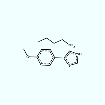 CCCCN.COc1ccc(-c2c[nH]cn2)cc1